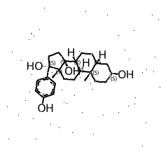 C[C@]12CC[C@H](O)C[C@H]1CC[C@@H]1[C@@H]2CC[C@]2(C)[C@@](O)(c3ccc(O)cc3)CC[C@]12O